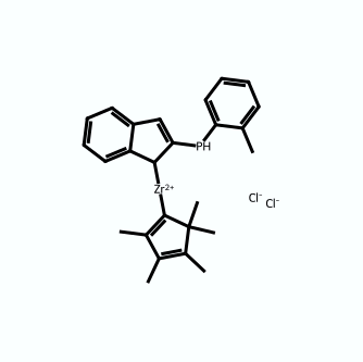 CC1=C(C)C(C)(C)[C]([Zr+2][CH]2C(Pc3ccccc3C)=Cc3ccccc32)=C1C.[Cl-].[Cl-]